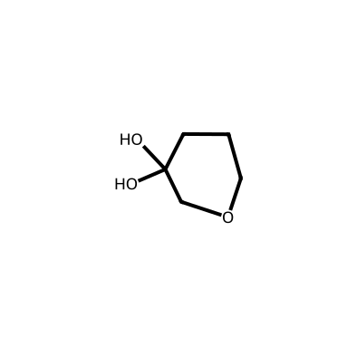 OC1(O)CCCOC1